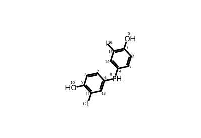 Oc1ccc(Pc2ccc(O)c(I)c2)cc1I